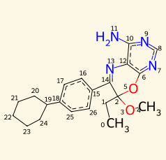 CCC1(OC)Oc2ncnc(N)c2N=C1c1ccc(C2CCCCC2)cc1